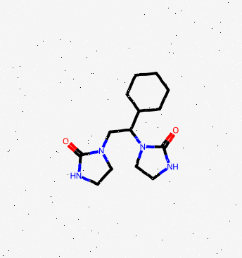 O=C1NCCN1CC(C1CCCCC1)N1CCNC1=O